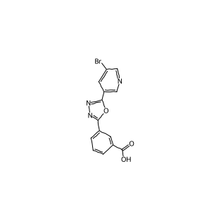 O=C(O)c1cccc(-c2nnc(-c3cncc(Br)c3)o2)c1